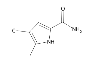 Cc1[nH]c(C(N)=O)cc1Cl